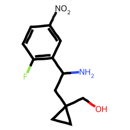 NC(CC1(CO)CC1)c1cc([N+](=O)[O-])ccc1F